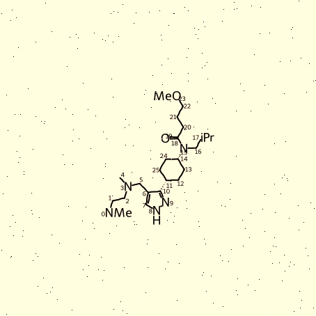 CNCCN(C)Cc1c[nH]nc1[C@H]1CC[C@@H](N(CC(C)C)C(=O)CCCOC)CC1